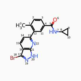 Cc1ccc(C(=O)NC2CC2)cc1-c1ccc2c(Br)n[nH]c2n1